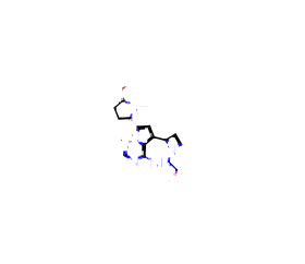 Nc1ncnn2c([C@H]3CC[C@@H](CO)N3)cc(C3=[N+](CCO)C=C3)c12